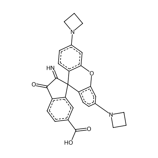 N=C1C(=O)c2ccc(C(=O)O)cc2C12c1ccc(N3CCC3)cc1Oc1cc(N3CCC3)ccc12